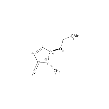 COCO[C@@H]1C=CC(=O)[C@H]1C